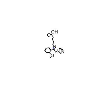 COc1ccccc1/C(Cn1ccnc1)=N\CCCCC(=O)O